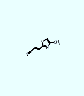 Cc1coc(/C=C/C#N)n1